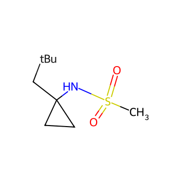 CC(C)(C)CC1(NS(C)(=O)=O)CC1